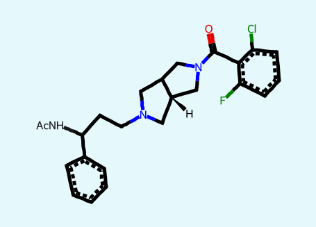 CC(=O)NC(CCN1CC2CN(C(=O)c3c(F)cccc3Cl)C[C@@H]2C1)c1ccccc1